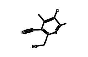 Cc1nc(CO)c(C#N)c(C)c1Cl